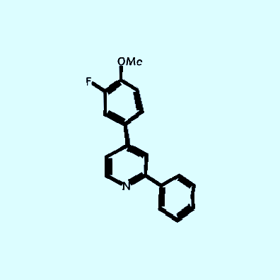 COc1ccc(-c2ccnc(-c3ccccc3)c2)cc1F